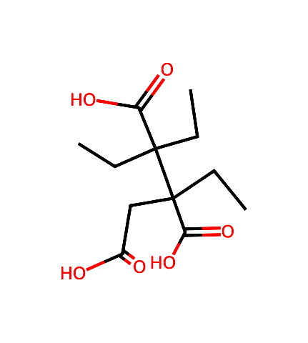 CCC(CC)(C(=O)O)C(CC)(CC(=O)O)C(=O)O